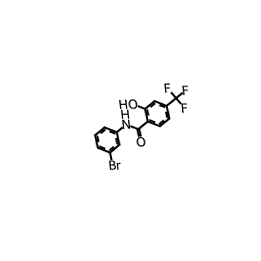 O=C(Nc1cccc(Br)c1)c1ccc(C(F)(F)F)cc1O